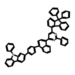 c1ccc(-c2nc(-c3cccc4c3-c3ccccc3C4(c3ccccc3)c3ccccc3)cc(-c3ccc(-c4ccc(-c5ccc6c7ccccc7n(-c7ccccc7)c6c5)cc4)c4ccccc34)n2)cc1